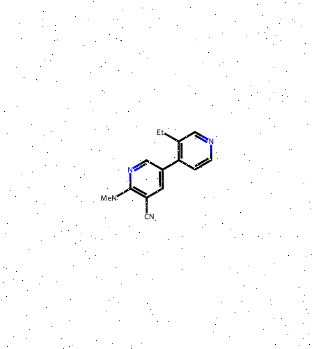 CCc1cnccc1-c1cnc(NC)c(C#N)c1